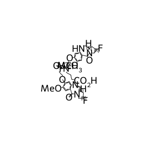 COc1cc2c(cc1OCCP(=O)(CCOc1cc3c(cc1OC)C(=O)N1C[C@H](F)C[C@H]1CN3)N(C)CCCC(=O)O)N=C[C@@H]1C[C@@H](F)CN1C2=O